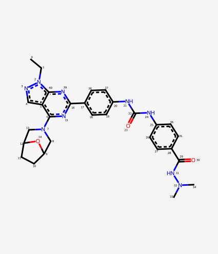 CCn1ncc2c(N3CC4CCC(C3)O4)nc(-c3ccc(NC(=O)Nc4ccc(C(=O)NN(C)C)cc4)cc3)nc21